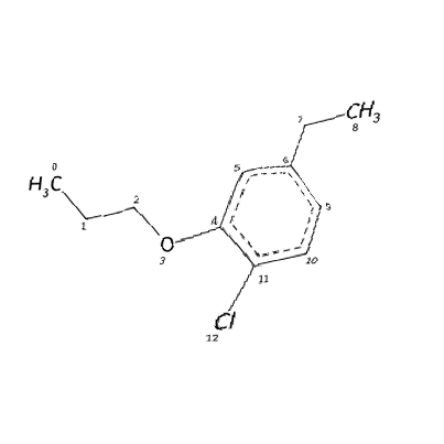 CCCOc1cc(CC)ccc1Cl